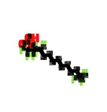 O=S(=O)(O)C(F)(F)C(F)(F)C(F)CCCCCCCCC(F)(F)F